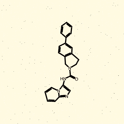 O=C(Nc1cnc2ccccn12)N1CCc2cc(-c3ccccc3)ccc2C1